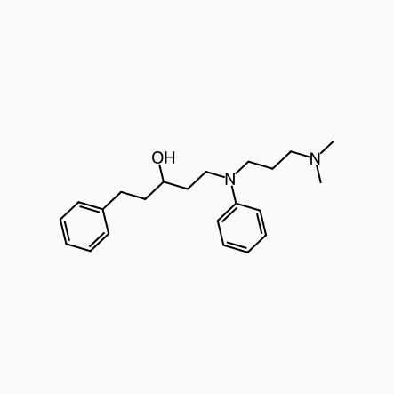 CN(C)CCCN(CCC(O)CCc1ccccc1)c1ccccc1